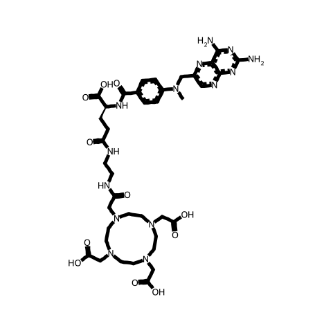 CN(Cc1cnc2nc(N)nc(N)c2n1)c1ccc(C(=O)N[C@@H](CCC(=O)NCCNC(=O)CN2CCN(CC(=O)O)CCN(CC(=O)O)CCN(CC(=O)O)CC2)C(=O)O)cc1